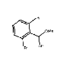 CCCC(OC)c1c(C(C)C)cccc1C(C)C